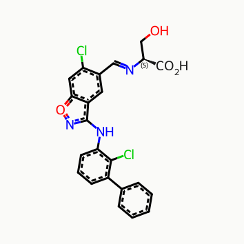 O=C(O)[C@H](CO)N=Cc1cc2c(Nc3cccc(-c4ccccc4)c3Cl)noc2cc1Cl